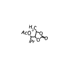 CC(=O)OC(C(C)C)C1OC(=O)OC1C